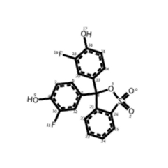 O=S1(=O)OC(c2ccc(O)c(F)c2)(c2ccc(O)c(F)c2)c2ccccc21